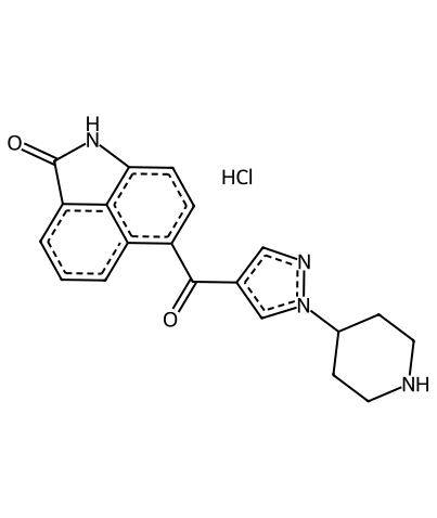 Cl.O=C(c1cnn(C2CCNCC2)c1)c1ccc2c3c(cccc13)C(=O)N2